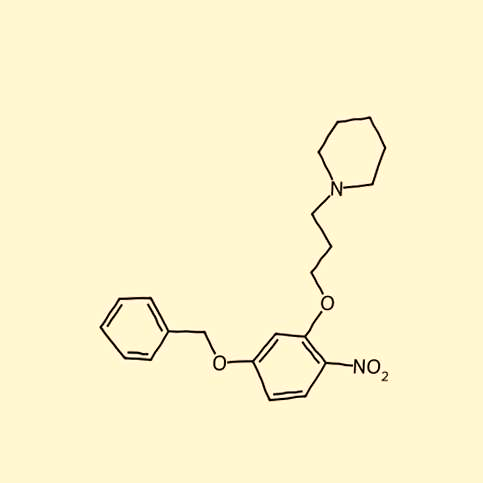 O=[N+]([O-])c1ccc(OCc2ccccc2)cc1OCCCN1CCCCC1